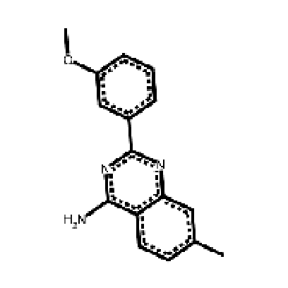 COc1cccc(-c2nc(N)c3ccc(C)cc3n2)c1